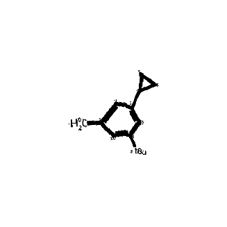 [CH2]c1cc(C2CC2)cc(C(C)(C)C)c1